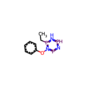 CCp1[nH][pH]npn1Oc1ccccc1